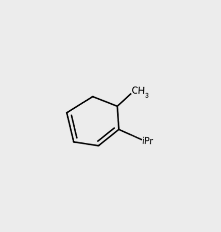 CC(C)C1=CC=CCC1C